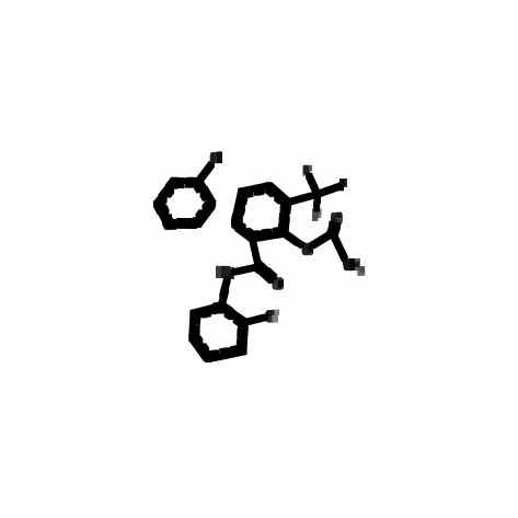 CC(=O)Oc1c(C(=O)Nc2ccccc2Cl)cccc1C(F)(F)F.Clc1ccccc1